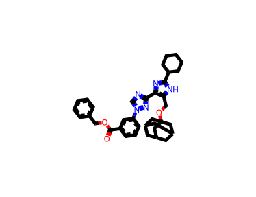 O=C(OCc1ccccc1)c1cccc(-n2cnc(-c3nc(C4CCCCC4)[nH]c3COC34CC5CC(CC(C5)C3)C4)n2)c1